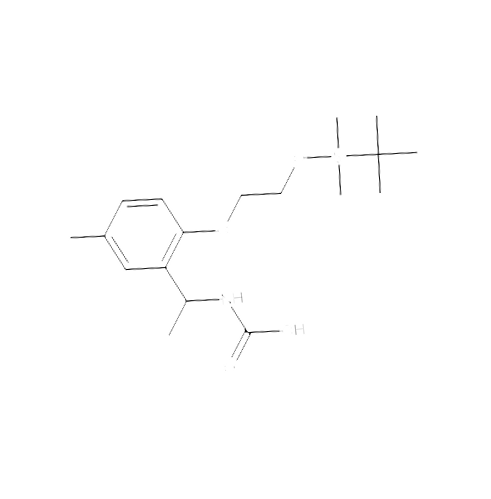 CC(NC(=O)O)c1cc(F)ccc1OCCO[Si](C)(C)C(C)(C)C